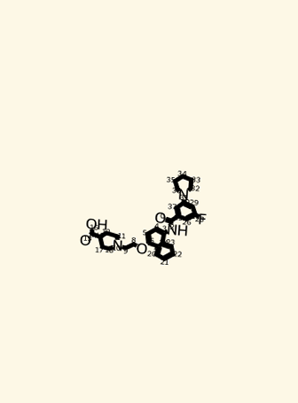 O=C(Nc1ccc(OCCN2CCC(C(=O)O)CC2)c2ccccc12)c1cc(F)cc(N2CCCCC2)c1